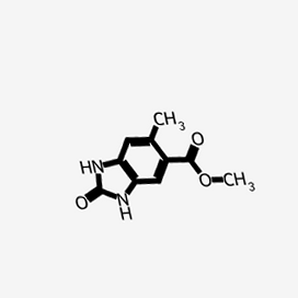 COC(=O)c1cc2[nH]c(=O)[nH]c2cc1C